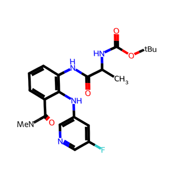 CNC(=O)c1cccc(NC(=O)C(C)NC(=O)OC(C)(C)C)c1Nc1cncc(F)c1